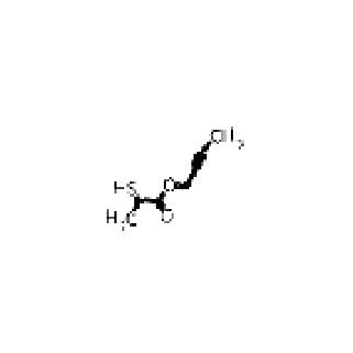 CC#CCOC(=O)C(C)S